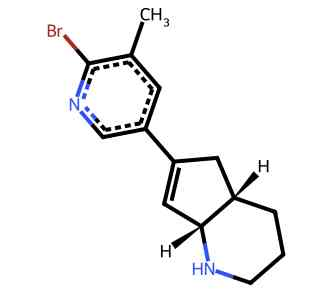 Cc1cc(C2=C[C@H]3NCCC[C@H]3C2)cnc1Br